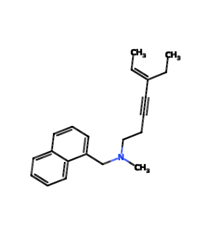 CC=C(C#CCCN(C)Cc1cccc2ccccc12)CC